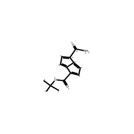 CC(C)(C)OC(=O)C1=CC=C2C(C(N)=O)=CC=C12